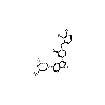 C[C@@H]1CN(c2cnc3[nH]cc(-c4ccn(Cc5cccc(Cl)c5F)c(=O)c4)c3c2)C[C@@H](C)O1